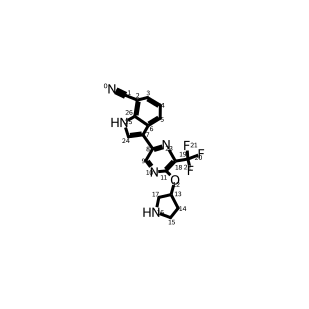 N#Cc1cccc2c(-c3cnc(OC4CCNC4)c(C(F)(F)F)n3)c[nH]c12